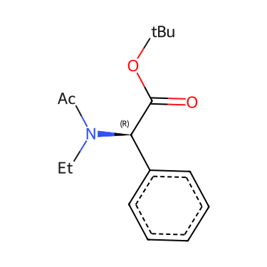 CCN(C(C)=O)[C@@H](C(=O)OC(C)(C)C)c1ccccc1